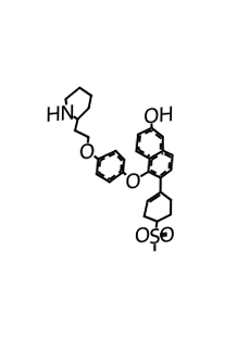 CS(=O)(=O)C1CC=C(c2ccc3cc(O)ccc3c2Oc2ccc(OCCC3CCCCN3)cc2)CC1